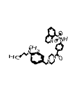 C#CCCN(C)c1ccc(CN2CCN(C(=O)c3ccc(NS(=O)(=O)c4cccc5cccnc45)cc3)CC2)cc1